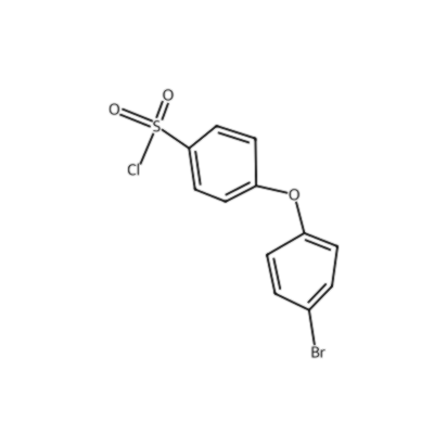 O=S(=O)(Cl)c1ccc(Oc2ccc(Br)cc2)cc1